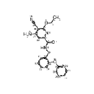 CCOc1nc(C(=O)NCc2ccccc2Oc2cnccn2)cc(N)c1C#N